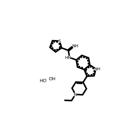 CCN1CC=C(c2c[nH]c3ccc(NC(=N)c4cccs4)cc23)CC1.Cl.Cl